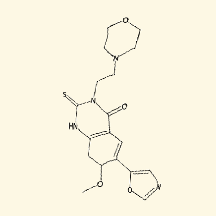 COC1Cc2[nH]c(=S)n(CCN3CCOCC3)c(=O)c2C=C1c1cnco1